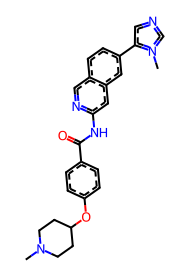 CN1CCC(Oc2ccc(C(=O)Nc3cc4cc(-c5cncn5C)ccc4cn3)cc2)CC1